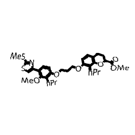 CCCc1c(OCCCOc2ccc(-c3csc(SC)n3)c(OC)c2CCC)ccc2c1OC(C(=O)OC)CC2